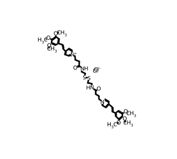 COc1cc(C=Cc2cc[n+](CCCC(=O)NCCSSCCNC(=O)CCC[n+]3ccc(C=Cc4cc(OC)c(OC)c(OC)c4)cc3)cc2)cc(OC)c1OC.[Cl-].[Cl-]